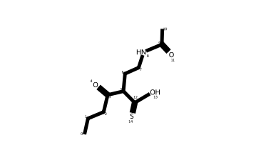 CCCC(=O)C(CCNC(C)=O)C(O)=S